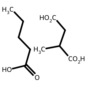 CC(CC(=O)O)C(=O)O.CCCCC(=O)O